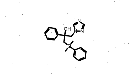 C[Si](C)(CC(O)(Cn1cncn1)c1ccccc1)c1ccccc1